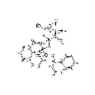 O=C(O)CN(CP(=O)(OOc1cccc2ccccc12)OOc1cccc2ccccc12)C(=O)C(F)(F)F